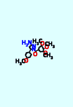 COc1ccc(-c2cc(N)nn2C(=O)c2cc(OC)c(OC)c(OC)c2)cc1